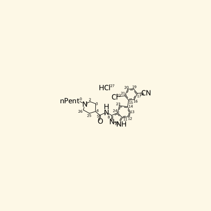 CCCCCN1CCC(C(=O)Nc2n[nH]c3ccc(-c4cc(C#N)ccc4Cl)cc23)CC1.Cl